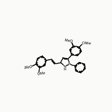 COc1ccc(C=CC2C=C(c3ccc(OC)c(OC)c3)N(c3ccccc3)N2)cc1OC